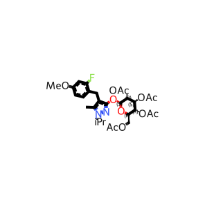 COc1ccc(Cc2c(O[C@@H]3O[C@H](COC(C)=O)[C@@H](OC(C)=O)[C@H](OC(C)=O)[C@H]3OC(C)=O)nn(C(C)C)c2C)c(F)c1